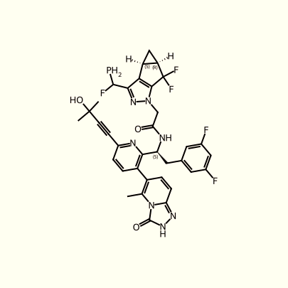 Cc1c(-c2ccc(C#CC(C)(C)O)nc2[C@H](Cc2cc(F)cc(F)c2)NC(=O)Cn2nc(C(F)P)c3c2C(F)(F)[C@@H]2C[C@H]32)ccc2n[nH]c(=O)n12